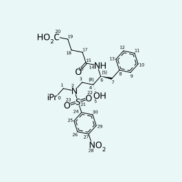 CC(C)CN(C[C@@H](O)[C@H](Cc1ccccc1)NC(=O)CCCC(=O)O)S(=O)(=O)c1ccc([N+](=O)[O-])cc1